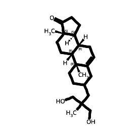 CC(CO)(CO)CC1CC[C@@]2(C)C(=CC[C@@H]3[C@H]2CC[C@]2(C)C(=O)CC[C@@H]32)C1